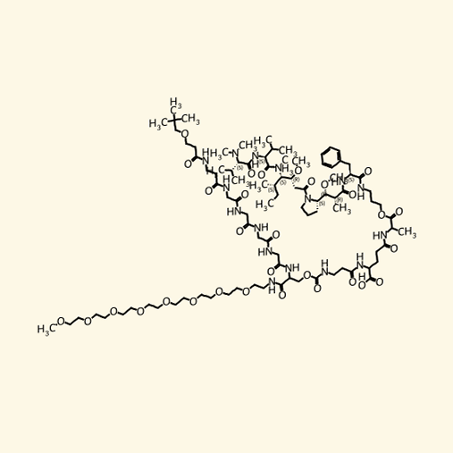 CC[C@H](C)[C@@H]([C@@H](CC(=O)N1CCC[C@H]1[C@H](OC)[C@@H](C)C(=O)N[C@@H](Cc1ccccc1)C(=O)NCCCOC(=O)C(C)NC(=O)CCC(NC(=O)CCNC(=O)OCC(NC(=O)CNC(=O)CNC(=O)CNC(=O)CNC(=O)CCNC(=O)CCOCC(C)(C)C)C(=O)NCCOCCOCCOCCOCCOCCOCCOCCOC)C(=O)O)OC)N(C)C(=O)[C@@H](NC(=O)[C@H](C(C)C)N(C)C)C(C)C